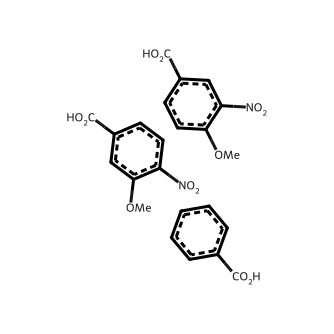 COc1cc(C(=O)O)ccc1[N+](=O)[O-].COc1ccc(C(=O)O)cc1[N+](=O)[O-].O=C(O)c1ccccc1